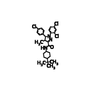 CC1C(C(=O)NC2CCC(C(C)(C)C)CC2)=NN(c2ccc(Cl)cc2Cl)C1c1ccc(Cl)cc1